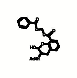 CC(=O)NC1Cc2cccc(C(=O)OCOC(=O)c3ccccc3)c2OB1O